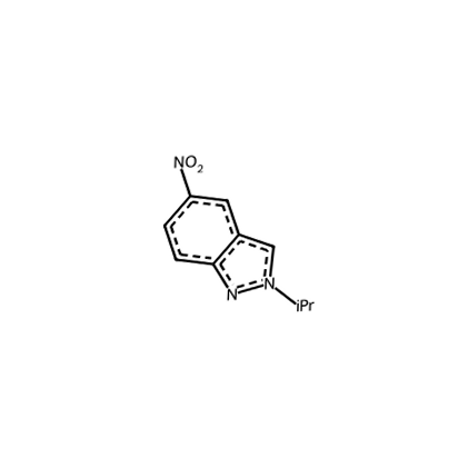 CC(C)n1cc2cc([N+](=O)[O-])ccc2n1